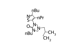 C=CC(C)CN1CN(CCCC)C(=O)N(c2snc(CCCC)c2CCC)C1